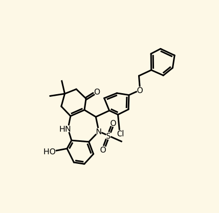 CC1(C)CC(=O)C2=C(C1)Nc1c(O)cccc1N(S(C)(=O)=O)C2c1ccc(OCc2ccccc2)cc1Cl